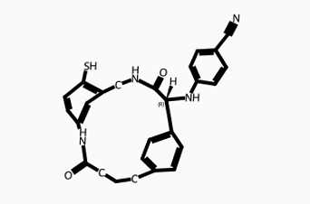 N#Cc1ccc(N[C@H]2C(=O)NCc3cc(ccc3S)NC(=O)CCCc3ccc2cc3)cc1